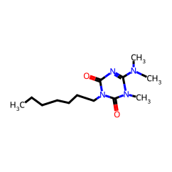 CCCCCCCn1c(=O)nc(N(C)C)n(C)c1=O